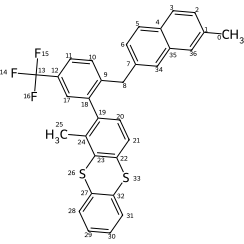 Cc1ccc2ccc(Cc3ccc(C(F)(F)F)cc3-c3ccc4c(c3C)Sc3ccccc3S4)cc2c1